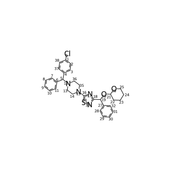 Clc1ccc(C(c2ccccc2)N2CCN(c3nc(C(OC4CCCCO4)c4ccccc4)ns3)CC2)cc1